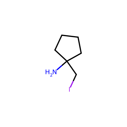 NC1(CI)CCCC1